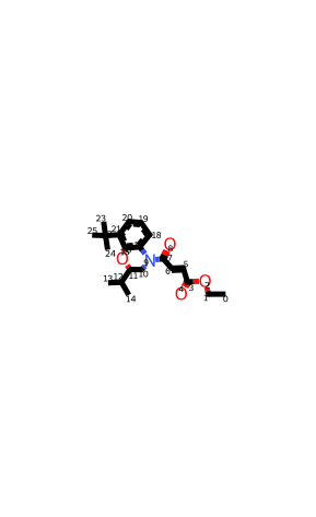 CCOC(=O)C=CC(=O)N1CC(C(C)C)Oc2c1cccc2C(C)(C)C